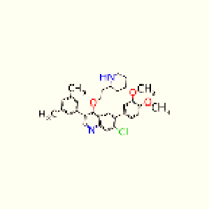 COc1ccc(-c2cc3c(OCCC4CCCCN4)c(-c4cc(C)cc(C)c4)cnc3cc2Cl)cc1OC